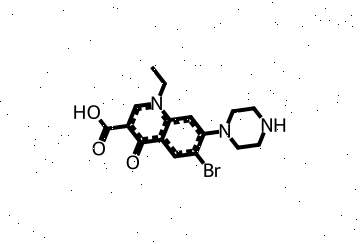 CCn1cc(C(=O)O)c(=O)c2cc(Br)c(N3CCNCC3)cc21